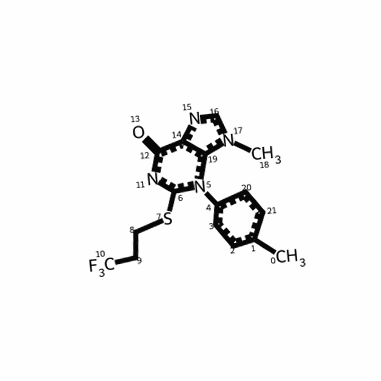 Cc1ccc(-n2c(SCCC(F)(F)F)nc(=O)c3ncn(C)c32)cc1